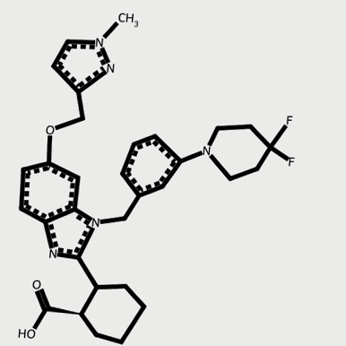 Cn1ccc(COc2ccc3nc(C4CCCC[C@H]4C(=O)O)n(Cc4cccc(N5CCC(F)(F)CC5)c4)c3c2)n1